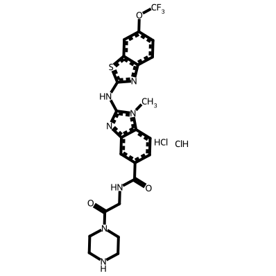 Cl.Cl.Cn1c(Nc2nc3ccc(OC(F)(F)F)cc3s2)nc2cc(C(=O)NCC(=O)N3CCNCC3)ccc21